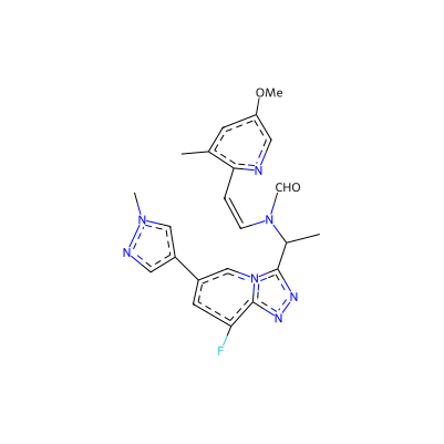 COc1cnc(/C=C\N(C=O)C(C)c2nnc3c(F)cc(-c4cnn(C)c4)cn23)c(C)c1